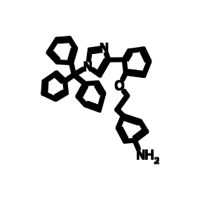 Nc1ccc(CCOc2ccccc2-c2cn(C(c3ccccc3)(c3ccccc3)c3ccccc3)cn2)cc1